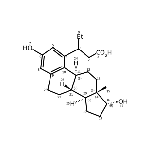 CCC(CC(=O)O)c1cc(O)cc2c1[C@H]1CC[C@]3(C)[C@H](O)CC[C@H]3[C@@H]1CC2